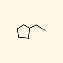 [O]CC1CCCC1